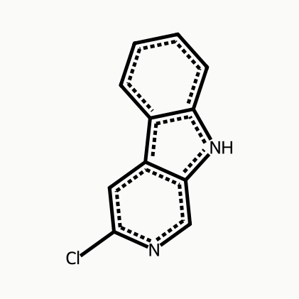 Clc1cc2c(cn1)[nH]c1ccccc12